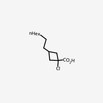 CCCCCCCCC1CC(Cl)(C(=O)O)C1